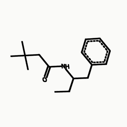 CCC(Cc1ccccc1)NC(=O)CC(C)(C)C